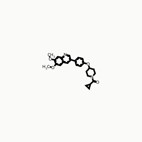 COc1cc2cc(-c3ccc(OC4CCN(C(=O)C5CC5)CC4)cc3)cnc2cc1OC